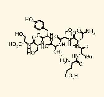 CC[C@H](C)[C@H](NC(=O)[C@@H](N)CCC(=O)O)C(=O)N[C@@H](CC(N)=O)C(=O)N[C@@H](CO)C(=O)N[C@@H](C)C(=O)N[C@@H](Cc1ccc(O)cc1)C(=O)N[C@@H](CO)C(=O)N[C@@H](CO)C(=O)O